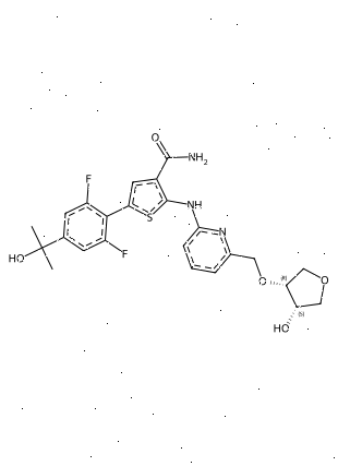 CC(C)(O)c1cc(F)c(-c2cc(C(N)=O)c(Nc3cccc(CO[C@@H]4COC[C@@H]4O)n3)s2)c(F)c1